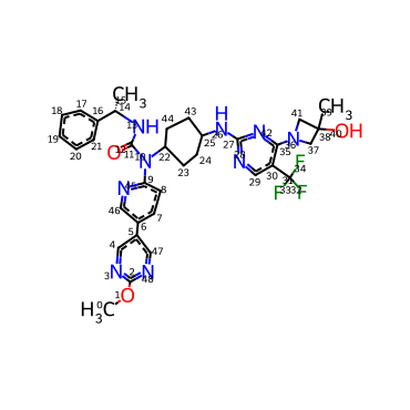 COc1ncc(-c2ccc(N(C(=O)N[C@@H](C)c3ccccc3)C3CCC(Nc4ncc(C(F)(F)F)c(N5CC(C)(O)C5)n4)CC3)nc2)cn1